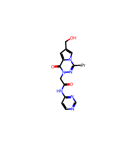 CC(C)c1nn(CC(=O)Nc2ccncn2)c(=O)c2cc(CO)cn12